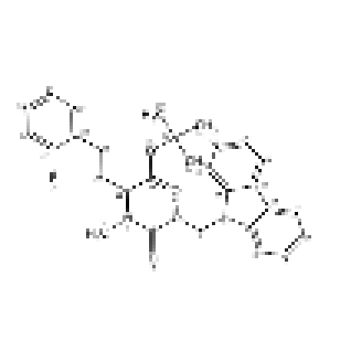 CN(C(=O)OCC1c2ccccc2-c2ccccc21)C(CCc1ccccc1F)C(=O)OC(C)(C)C